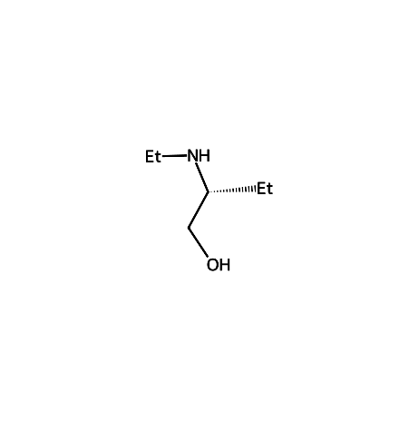 CCN[C@H](CC)CO